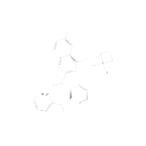 Cc1ccc2nc(N3Cc4ccccc4N(C)c4ccc(Cl)cc43)nc(NCC3(N)COC3)c2c1